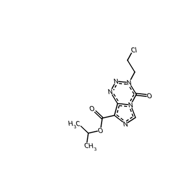 CC(C)OC(=O)c1ncn2c(=O)n(CCCl)nnc12